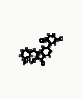 Cn1c(=O)c2ccc(-c3cc(Cl)ncc3Cl)cc2n1Cc1cccc(F)c1